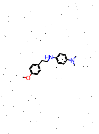 COc1ccc(CCNc2ccc(N(C)C)cc2)cc1